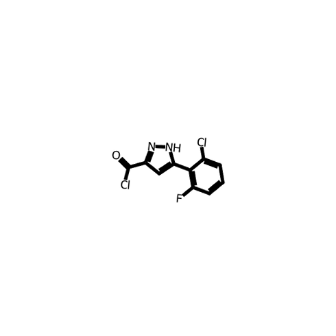 O=C(Cl)c1cc(-c2c(F)cccc2Cl)[nH]n1